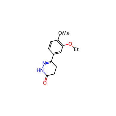 CCOc1cc(C2=NNC(=O)CC2)ccc1OC